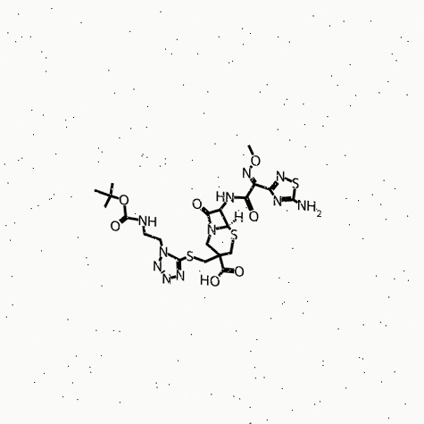 CON=C(C(=O)NC1C(=O)N2CC(CSc3nnnn3CCNC(=O)OC(C)(C)C)(C(=O)O)CS[C@H]12)c1nsc(N)n1